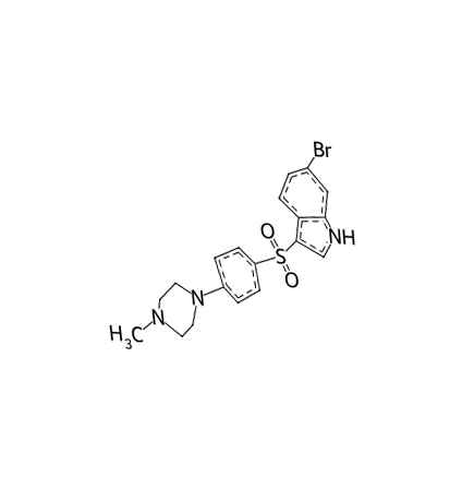 CN1CCN(c2ccc(S(=O)(=O)c3c[nH]c4cc(Br)ccc34)cc2)CC1